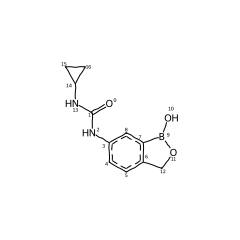 O=C(Nc1ccc2c(c1)B(O)OC2)NC1CC1